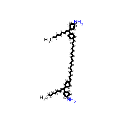 CCCCCCCCC(c1ccc(N)cc1)c1ccc(CCCCCCCCCCCCCCCCCc2ccc(C(CCCCCCCC)c3ccc(N)cc3)cc2)cc1